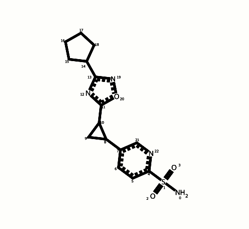 NS(=O)(=O)c1ccc(C2CC2c2nc(C3CCCC3)no2)cn1